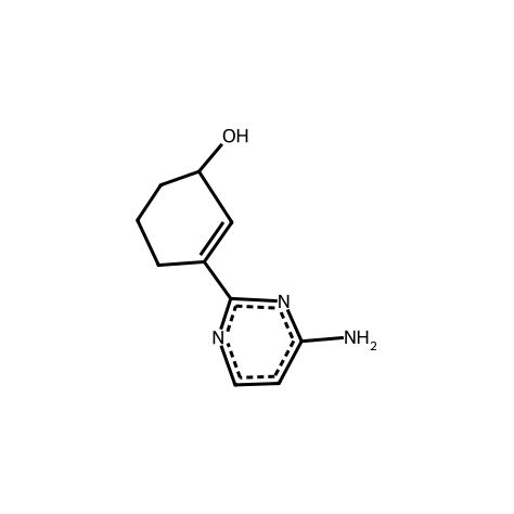 Nc1ccnc(C2=CC(O)CCC2)n1